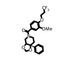 COc1cc(C(=O)N2CC[C@]3(c4ccccc4)OCOC3C2)ccc1OCCC(F)(F)F